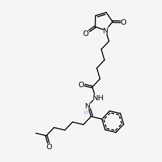 CC(=O)CCCC/C(=N/NC(=O)CCCCCN1C(=O)C=CC1=O)c1ccccc1